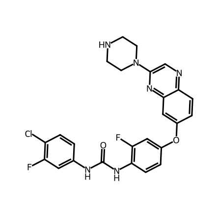 O=C(Nc1ccc(Cl)c(F)c1)Nc1ccc(Oc2ccc3ncc(N4CCNCC4)nc3c2)cc1F